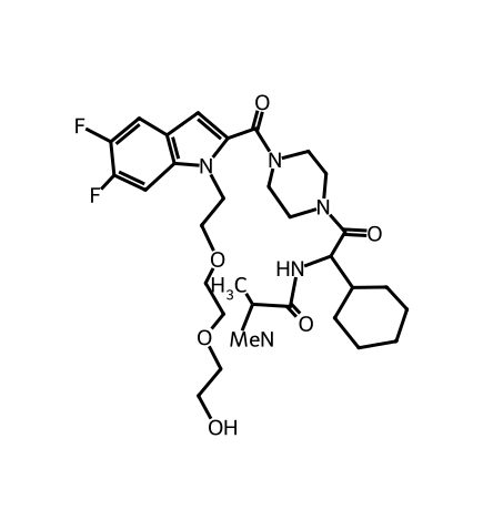 CNC(C)C(=O)NC(C(=O)N1CCN(C(=O)c2cc3cc(F)c(F)cc3n2CCOCCOCCO)CC1)C1CCCCC1